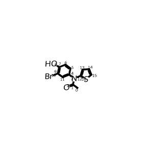 CC(=O)N(c1ccc(O)c(Br)c1)c1cccs1